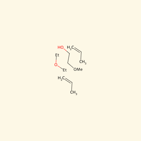 C=CC.C=CC.CCOCC.COCCO